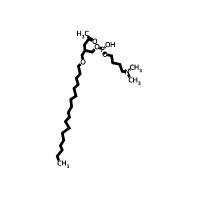 CCCCCCCCCCCCCCCCCCOCC(COP(O)OCCCCN(C)C)CC(C)=O